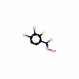 ON=C(Cl)c1ccc(Cl)c(Cl)c1F